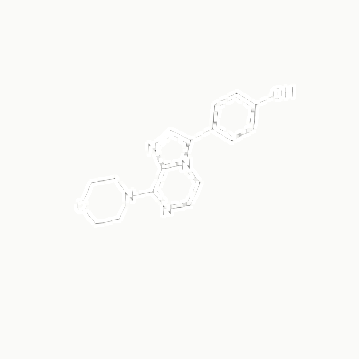 Oc1ccc(-c2cnc3c(N4CCOCC4)nccn23)cc1